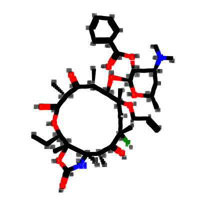 C=CCO[C@]1(C)C[C@](C)(F)C(=O)[C@H](C)[C@H]2NC(=O)O[C@]2(C)[C@@H](CC)OC(=O)[C@H](C)C(=O)[C@H](C)[C@H]1O[C@@H]1O[C@H](C)C[C@H](N(C)C)[C@H]1OC(=O)c1ccccc1